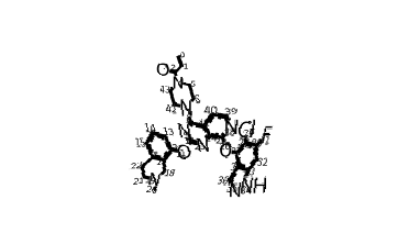 C=CC(=O)N1CCN(c2nc(Oc3cccc4c3CN(C)CC4)nc3c(Oc4c(Cl)c(F)cc5[nH]ncc45)nccc23)CC1